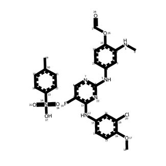 CNc1cc(Nc2ncc(F)c(Nc3ccc(OC)c(Cl)c3)n2)ccc1OC=O.Cc1ccc(S(=O)(=O)O)cc1